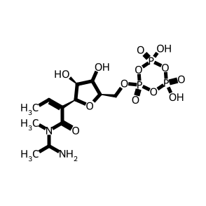 C/C=C(\C(=O)N(C)C(C)N)[C@@H]1O[C@H](COP2(=O)OP(=O)(O)OP(=O)(O)O2)C(O)[C@@H]1O